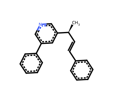 C[C@@H](/C=C/c1ccccc1)c1cncc(-c2ccccc2)c1